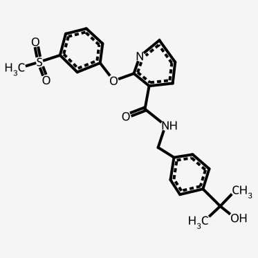 CC(C)(O)c1ccc(CNC(=O)c2cccnc2Oc2cccc(S(C)(=O)=O)c2)cc1